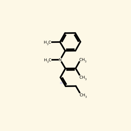 CC/C=C\C(=C(C)C)N(C)c1ccccc1C